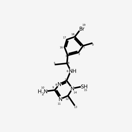 Cc1cc(C(C)NC2=NC(N)=NC(C)N2S)ccc1Br